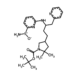 CC(C)(C)OC(=O)N1CC(CCC(Cc2ccccn2)Nc2cccc([S+](N)[O-])n2)CC1(C)C